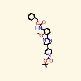 COc1c(NC(=O)OCc2ccccc2)cccc1-c1ncc(C2=CCN(C(=O)OC(C)(C)C)CC2)cn1